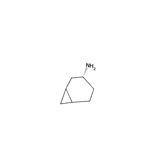 N[C@@H]1CCC2CC2C1